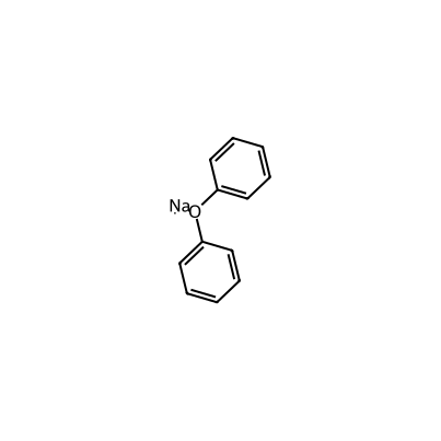 [Na].c1ccc(Oc2ccccc2)cc1